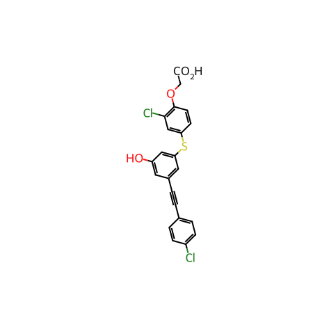 O=C(O)COc1ccc(Sc2cc(O)cc(C#Cc3ccc(Cl)cc3)c2)cc1Cl